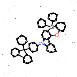 c1ccc(C2(c3ccc(-n4c5ccccc5c5c6c(ccc54)[Si](c4ccccc4)(c4ccccc4)c4ccccc4O6)cc3)c3ccccc3-c3ccccc32)cc1